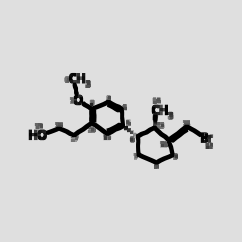 COc1ccc([C@H]2CCC/C(=C\Br)[C@@H]2C)cc1CCO